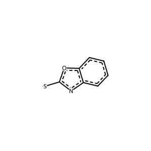 [S]c1nc2ccccc2o1